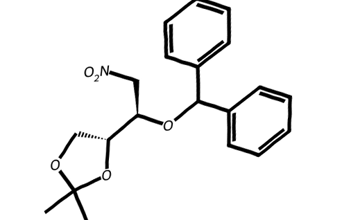 CC1(C)OC[C@H]([C@@H](C[N+](=O)[O-])OC(c2ccccc2)c2ccccc2)O1